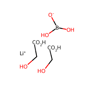 O=C(O)CO.O=C(O)CO.[Li+].[O-]B(O)O